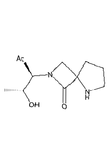 CC(=O)[C@H]([C@@H](C)O)N1CC2(CCCN2)C1=O